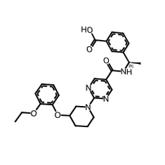 CCOc1ccccc1OC1CCCN(c2ncc(C(=O)N[C@H](C)c3cccc(C(=O)O)c3)cn2)C1